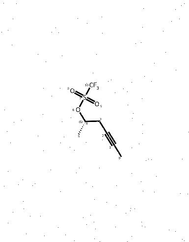 CC#CC[C@H](C)OS(=O)(=O)C(F)(F)F